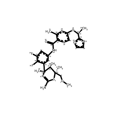 COC[C@@]1(C)SC(N)=N[C@](C)(c2cc(NC(=O)c3ncc(O[C@@H](C)c4ncco4)nc3C)cc(F)c2F)[C@@H]1C